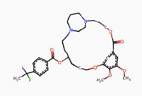 COc1cc2cc(c1OC)OCCCC(OC(=O)c1ccc(C(C)(F)I)cc1)CCN1CCCN(CCCOC2=O)CC1